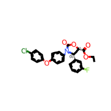 CCOC(=O)[C@H]1OC(=O)N(c2ccc(Oc3ccc(Cl)cc3)cc2)[C@H]1c1cccc(F)c1